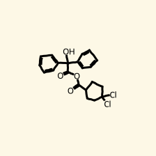 O=C(OC(=O)C(O)(c1ccccc1)c1ccccc1)C1CCC(Cl)(Cl)CC1